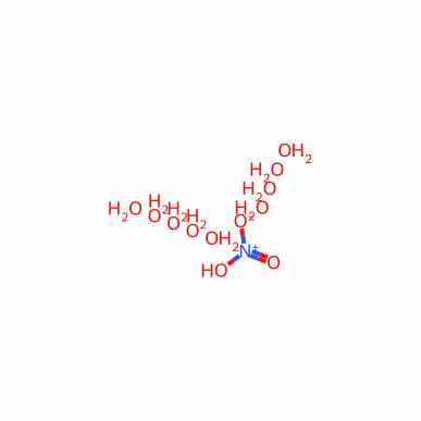 O.O.O.O.O.O.O.O.O.O=[N+]([O-])O